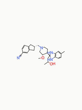 CO[C@@H]1CN(C[C@H]2Cc3ccc(C#N)cc3C2)CC[C@H]1C1(CC(C)O)Nc2ccc(C)cc2N1